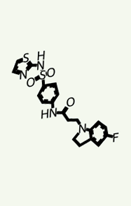 O=C(CCN1CCc2cc(F)ccc21)Nc1ccc(S(=O)(=O)Nc2nccs2)cc1